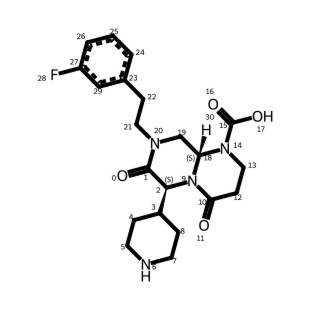 O=C1[C@H](C2CCNCC2)N2C(=O)CCN(C(=O)O)[C@H]2CN1CCc1cccc(F)c1